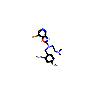 COc1ccc(CN(CCN(C)C)c2nc3cncc(Br)c3o2)c(OC)c1